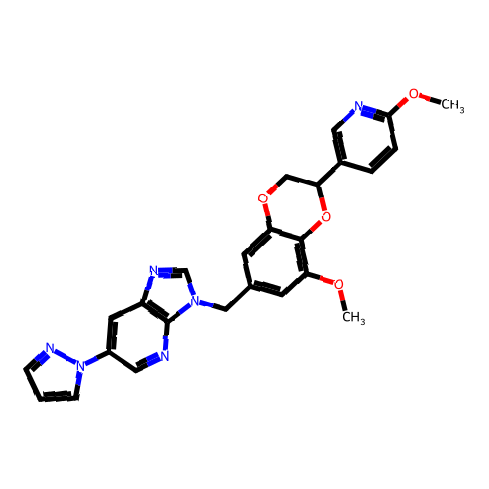 COc1ccc(C2COc3cc(Cn4cnc5cc(-n6cccn6)cnc54)cc(OC)c3O2)cn1